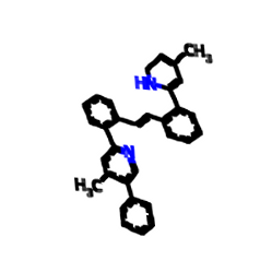 CC1=CCNC(c2ccccc2/C=C/c2ccccc2-c2cc(C)c(-c3ccccc3)cn2)=C1